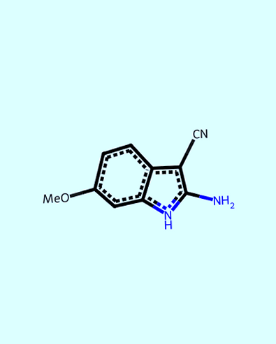 COc1ccc2c(C#N)c(N)[nH]c2c1